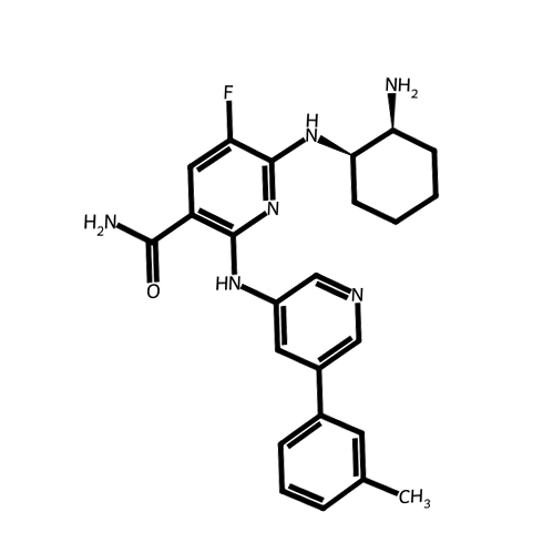 Cc1cccc(-c2cncc(Nc3nc(N[C@@H]4CCCC[C@@H]4N)c(F)cc3C(N)=O)c2)c1